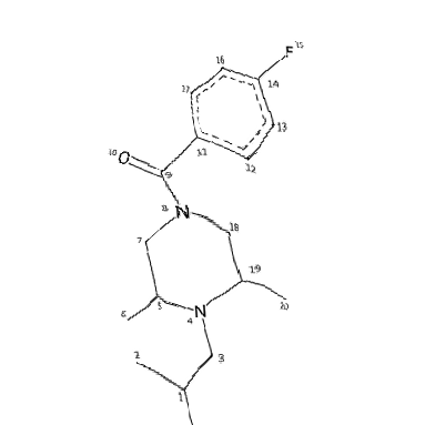 CC(C)CN1C(C)CN(C(=O)c2ccc(F)cc2)CC1C